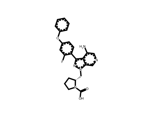 Nc1cncc2c1c(-c1ccc(Oc3ccccc3)cc1F)nn2C[C@H]1CCCN1C(=O)O